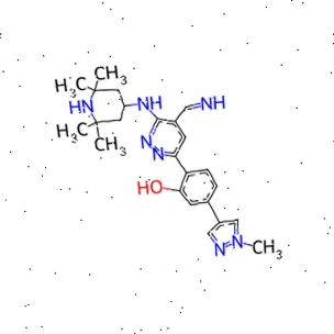 Cn1cc(-c2ccc(-c3cc(C=N)c(NC4CC(C)(C)NC(C)(C)C4)nn3)c(O)c2)cn1